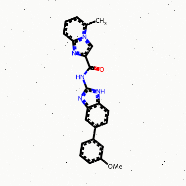 COc1cccc(-c2ccc3[nH]c(NC(=O)c4cn5c(C)cccc5n4)nc3c2)c1